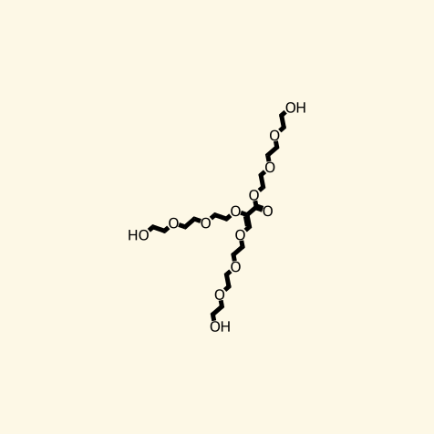 O=C(OCCOCCOCCO)C(=COCCOCCOCCO)OCCOCCOCCO